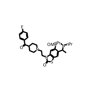 CCCN(CCC)C(C)c1cc2sc(=O)n(CCN3CCC(C(=O)c4ccc(F)cc4)CC3)c2cc1OC